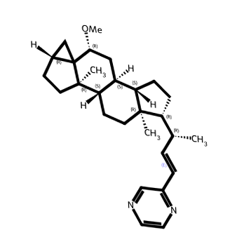 CO[C@@H]1C[C@H]2[C@@H]3CC[C@H]([C@H](C)/C=C/c4cnccn4)[C@@]3(C)CC[C@@H]2[C@@]2(C)CC[C@@H]3CC312